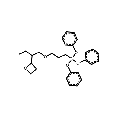 CCC(COCCC[Si](Oc1ccccc1)(Oc1ccccc1)Oc1ccccc1)C1CCO1